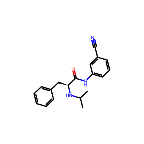 CC(C)N[C@@H](Cc1ccccc1)C(=O)Nc1cccc(C#N)c1